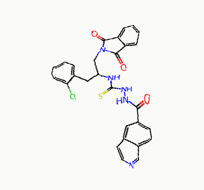 O=C(NNC(=S)NC(Cc1ccccc1Cl)CN1C(=O)c2ccccc2C1=O)c1ccc2cnccc2c1